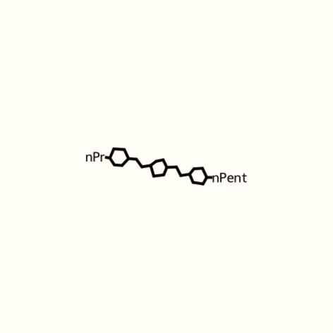 CCCCCC1CCC(CCC2CCC(CCC3CCC(CCC)CC3)CC2)CC1